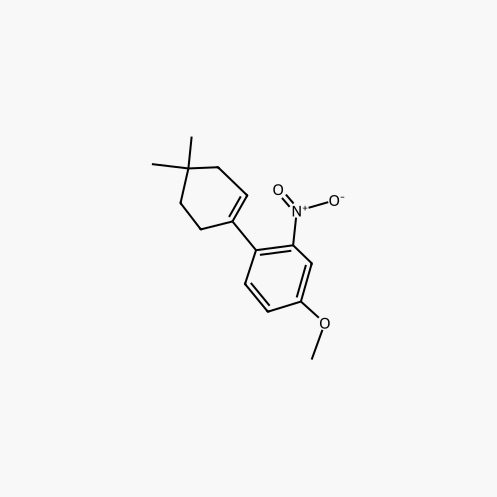 COc1ccc(C2=CCC(C)(C)CC2)c([N+](=O)[O-])c1